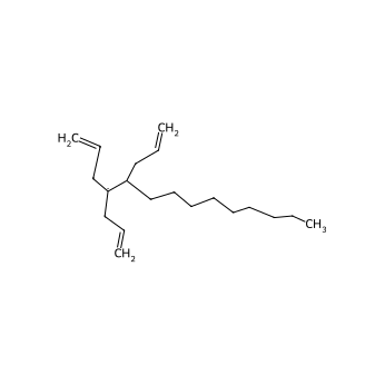 C=CC[C](CC=C)C(CC=C)CCCCCCCCC